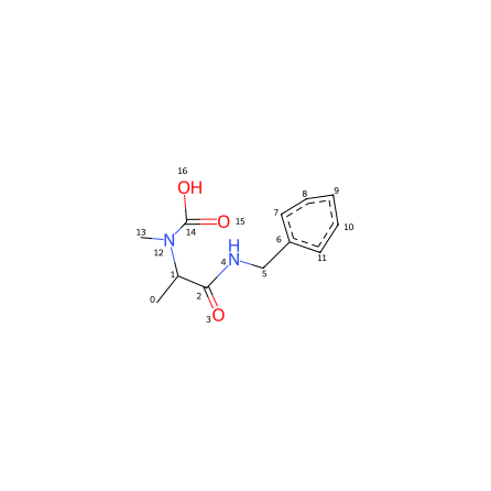 CC(C(=O)NCc1ccccc1)N(C)C(=O)O